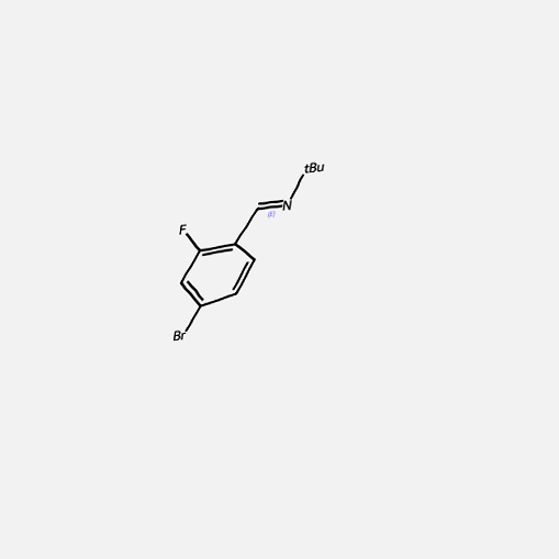 CC(C)(C)/N=C/c1ccc(Br)cc1F